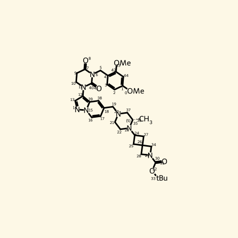 COc1ccc(CN2C(=O)CCN(c3cnn4ccc(CN5CCN(C6CC7(C6)CN(C(=O)OC(C)(C)C)C7)[C@@H](C)C5)cc34)C2=O)c(OC)c1